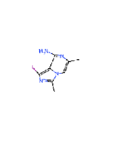 Cc1cn2c(C)nc(I)c2c(N)n1